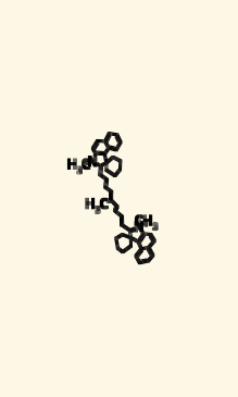 CC(/C=C/C=C/C1=[N+](C)c2ccc3ccccc3c2C12CCCCC2)=C\C=C\C=C1\N(C)c2ccc3ccccc3c2C12CCCCC2